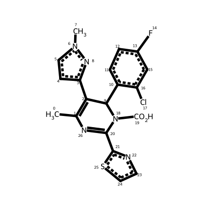 CC1=C(c2ccn(C)n2)C(c2ccc(F)cc2Cl)N(C(=O)O)C(c2nccs2)=N1